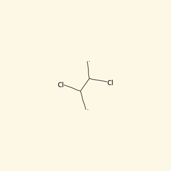 [CH2]C(Cl)C([CH2])Cl